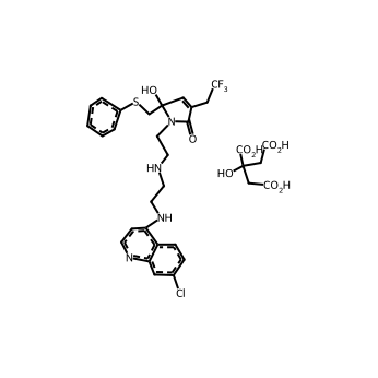 O=C(O)CC(O)(CC(=O)O)C(=O)O.O=C1C(CC(F)(F)F)=CC(O)(CSc2ccccc2)N1CCNCCNc1ccnc2cc(Cl)ccc12